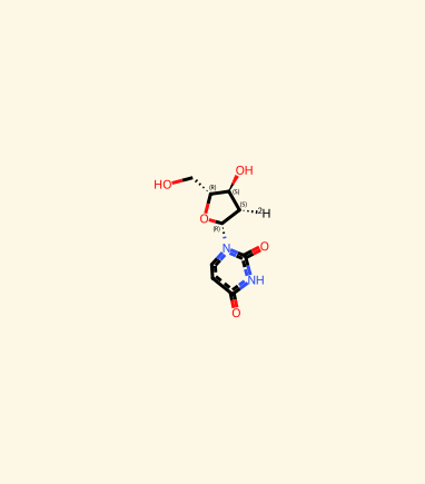 [2H][C@H]1[C@H](O)[C@@H](CO)O[C@H]1n1ccc(=O)[nH]c1=O